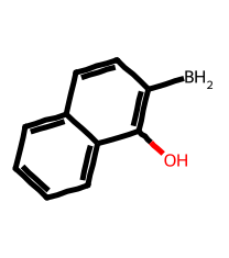 Bc1ccc2ccccc2c1O